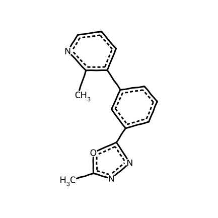 Cc1nnc(-c2cccc(-c3cccnc3C)c2)o1